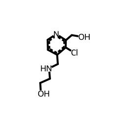 OCCNCc1ccnc(CO)c1Cl